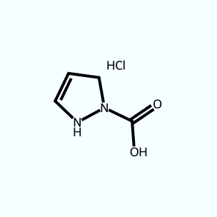 Cl.O=C(O)N1CC=CN1